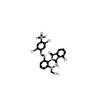 CCN(C)c1cccc(N=Nc2cc(Cl)c(S(=O)(=O)F)cc2Cl)c1N1C(=O)c2cccc(Cl)c2C1=O